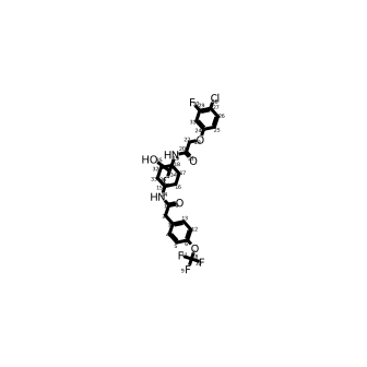 O=C(Cc1ccc(OC(F)(F)F)cc1)NC12CCC(NC(=O)COc3ccc(Cl)c(F)c3)(CC1)C(O)C2